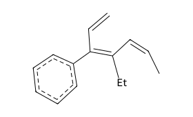 C=C/C(=C(\C=C/C)CC)c1ccccc1